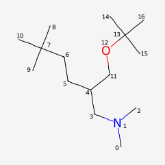 CN(C)CC(CCC(C)(C)C)COC(C)(C)C